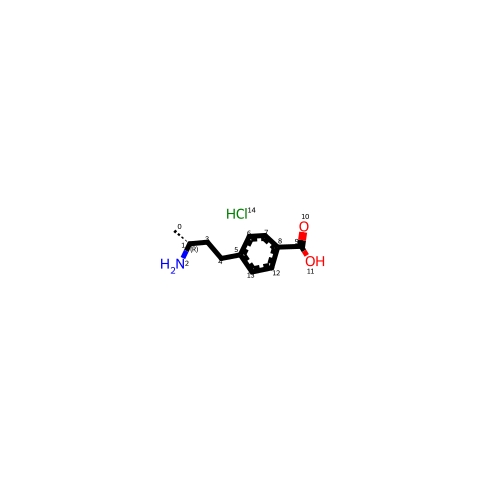 C[C@@H](N)CCc1ccc(C(=O)O)cc1.Cl